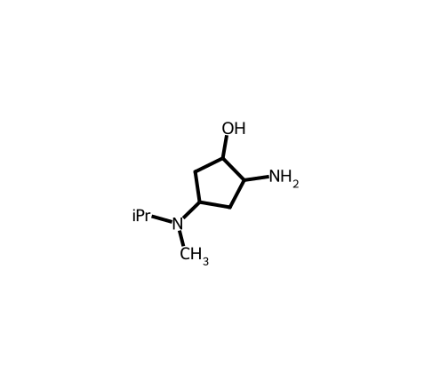 CC(C)N(C)C1CC(N)C(O)C1